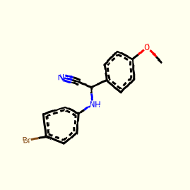 COc1ccc(C(C#N)Nc2ccc(Br)cc2)cc1